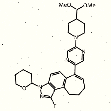 COC(OC)C1CCN(c2cnc(C3=CCCCc4c3ccc3c4c(F)nn3C3CCCCO3)cn2)CC1